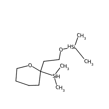 C[SiH](C)OCCC1([SiH](C)C)CCCCO1